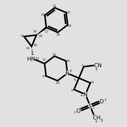 CS(=O)(=O)N1CC(CC#N)(N2CCC(N[C@@H]3C[C@H]3c3ccccc3)CC2)C1